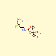 CC(C)(C)OC(=O)NCCC(F)(F)CN